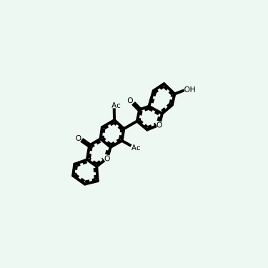 CC(=O)c1cc2c(=O)c3ccccc3oc2c(C(C)=O)c1-c1coc2cc(O)ccc2c1=O